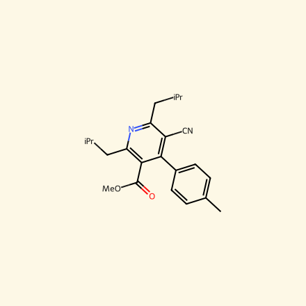 COC(=O)c1c(CC(C)C)nc(CC(C)C)c(C#N)c1-c1ccc(C)cc1